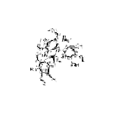 CO[C@@H]1[C@H](O)[C@@H](OP(=O)(O[C@H]2O[C@H](CO)[C@@H](O)[C@H](OC)[C@@H]2O)O[C@H]2O[C@H](CO)[C@@H](O)[C@H](OC)[C@@H]2O)O[C@H](CO)[C@H]1O